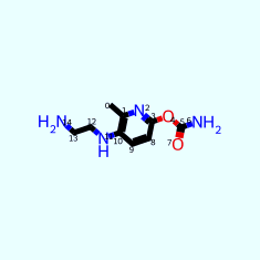 Cc1nc(OC(N)=O)ccc1NCCN